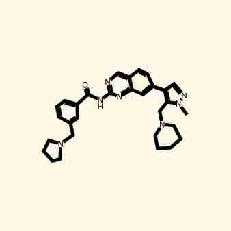 Cn1ncc(-c2ccc3cnc(NC(=O)c4cccc(CN5CCCC5)c4)nc3c2)c1CN1CCCCC1